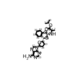 CC(C)OC(=O)C(C)NP(OC[C@@H]1CC[C@H](n2cnc3c(N)ncnc32)O1)Oc1ccccc1